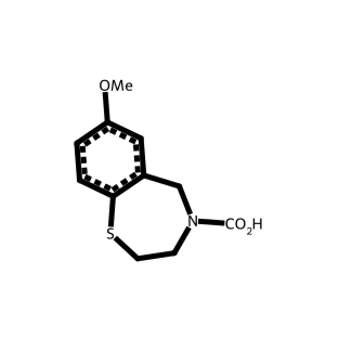 COc1ccc2c(c1)CN(C(=O)O)CCS2